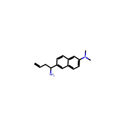 C=CCC(N)c1ccc2cc(N(C)C)ccc2c1